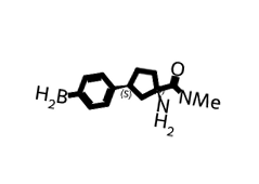 Bc1ccc([C@H]2CC[C@@](N)(C(=O)NC)C2)cc1